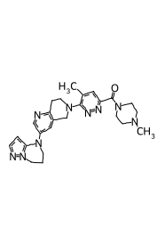 Cc1cc(C(=O)N2CCN(C)CC2)nnc1N1CCc2ncc(N3CCCn4nccc43)cc2C1